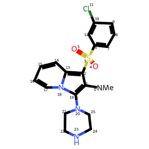 CNc1c(S(=O)(=O)c2cccc(Cl)c2)c2ccccn2c1N1CCNCC1